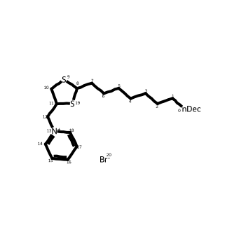 CCCCCCCCCCCCCCCCCC1SCC(C[n+]2ccccc2)S1.[Br-]